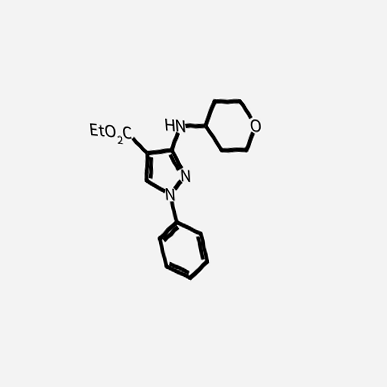 CCOC(=O)c1cn(-c2ccccc2)nc1NC1CCOCC1